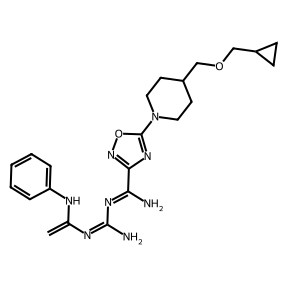 C=C(/N=C(N)\N=C(/N)c1noc(N2CCC(COCC3CC3)CC2)n1)Nc1ccccc1